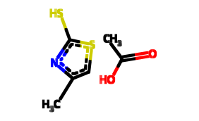 CC(=O)O.Cc1csc(S)n1